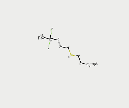 [CH2]CCCCCCCCSCCCC(F)(F)C(F)(F)F